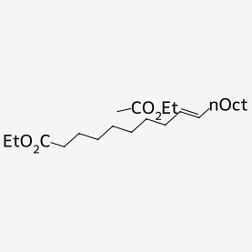 CCCCCCCCC=CCCCCCCCC(=O)OCC.CCOC(C)=O